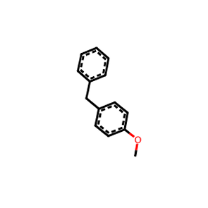 COc1ccc(Cc2ccccc2)cc1